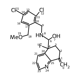 C=C1CCC(F)(C(O)NCc2c(Cl)cc(Cl)cc2COC)c2cccnc21